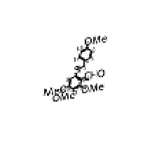 COc1ccc(CSc2cc(OC)c(OC)c(OC)c2C=O)cc1